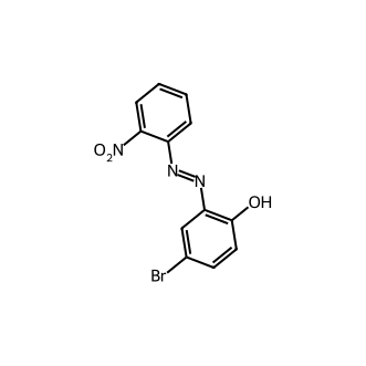 O=[N+]([O-])c1ccccc1N=Nc1cc(Br)ccc1O